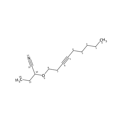 CCCCCC#CCCOC(C#N)CC